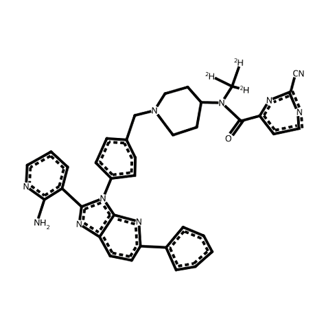 [2H]C([2H])([2H])N(C(=O)c1ccnc(C#N)n1)C1CCN(Cc2ccc(-n3c(-c4cccnc4N)nc4ccc(-c5ccccc5)nc43)cc2)CC1